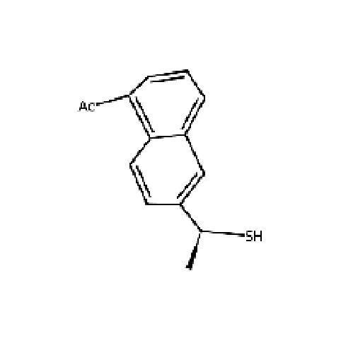 CC(=O)c1cccc2cc([C@H](C)S)ccc12